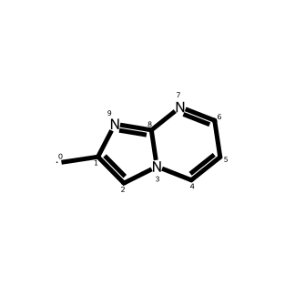 [CH2]c1cn2cccnc2n1